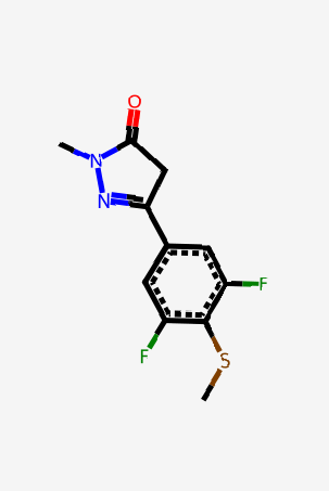 CSc1c(F)cc(C2=NN(C)C(=O)C2)cc1F